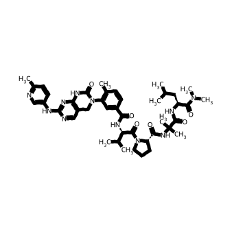 Cc1ccc(Nc2ncc3c(n2)NC(=O)N(c2cc(C(=O)N[C@H](C(=O)N4CCC[C@H]4C(=O)NC(C)(C)C(=O)N[C@@H](CC(C)C)C(=O)N(C)C)C(C)C)ccc2C)C3)cn1